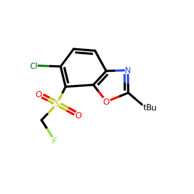 CC(C)(C)c1nc2ccc(Cl)c(S(=O)(=O)CF)c2o1